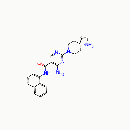 CC1(N)CCN(c2ncc(C(=O)Nc3cccc4ccccc34)c(N)n2)CC1